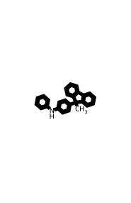 CC1(c2ccc(Nc3ccccc3)cc2)c2ccccc2-c2ccccc21